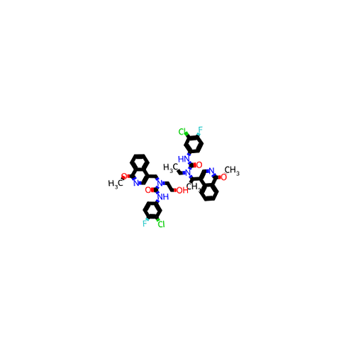 CCN(C(=O)Nc1ccc(F)c(Cl)c1)C(C)c1cnc(OC)c2ccccc12.COc1ncc(CN(CCO)C(=O)Nc2ccc(F)c(Cl)c2)c2ccccc12